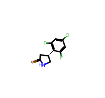 Fc1cc(Cl)cc(F)c1[C@@H]1CNC(=S)C1